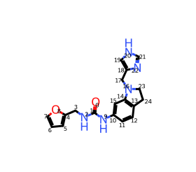 O=C(NCc1ccco1)Nc1ccc2c(c1)N(Cc1c[nH]cn1)CC2